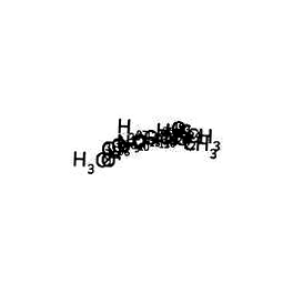 COC(=O)CC1CC(c2ccc(OCC3CCN(C(=O)OC(C)(C)C)CC3)cc2)NO1